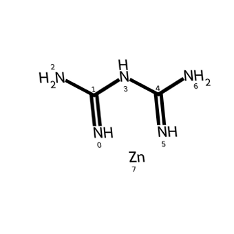 N=C(N)NC(=N)N.[Zn]